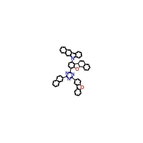 C1=CC2c3c(-n4c5ccccc5c5cc6ccccc6cc54)ccc(-c4nc(-c5ccc6ccccc6c5)nc(-c5ccc6oc7ccccc7c6c5)n4)c3OC2c2ccccc21